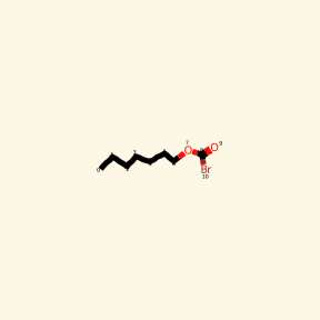 CCCCCCCOC(=O)Br